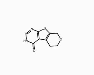 O=c1[nH]cnc2sc3c(c12)CCOC3